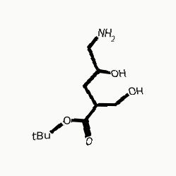 CC(C)(C)OC(=O)C(CO)CC(O)CN